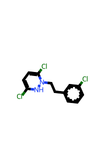 ClC1=CC=C(Cl)N(CCc2cccc(Cl)c2)N1